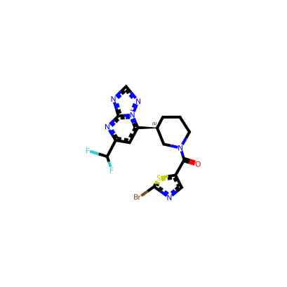 O=C(c1cnc(Br)s1)N1CCC[C@H](c2cc(C(F)F)nc3ncnn23)C1